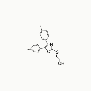 Cc1ccc(-c2nc(SCCO)oc2-c2ccc(C)cc2)cc1